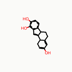 OC1=CCC2C(=C1)CCC1C2=Cc2c1ccc(O)c2O